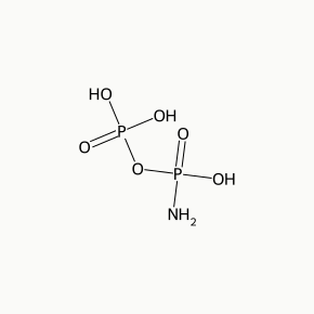 NP(=O)(O)OP(=O)(O)O